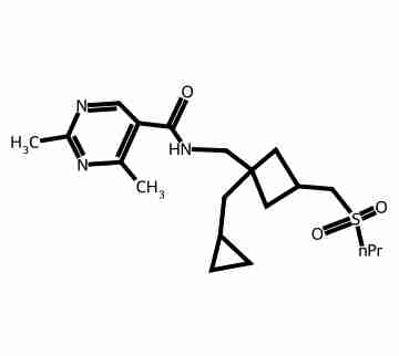 CCCS(=O)(=O)CC1CC(CNC(=O)c2cnc(C)nc2C)(CC2CC2)C1